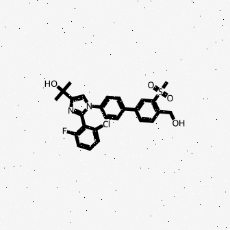 CC(C)(O)c1cn(-c2ccc(-c3ccc(CO)c(S(C)(=O)=O)c3)cc2)c(-c2c(F)cccc2Cl)n1